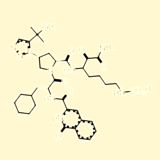 CC(C)(O)c1cnnn1[C@H]1C[C@@H](C(=O)NC(CCCCNC(=O)O)C(=O)C(N)=O)N(C(=O)[C@@H](CC2CCCCC2)NC(=O)c2cc3ccccc3c(=O)[nH]2)C1